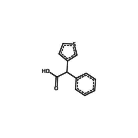 O=C(O)C(c1ccccc1)c1ccsc1